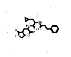 O=C(CCc1ccccc1)NC(CC1CC1)C(=O)NC(CC1CCNC1=O)C(=O)O